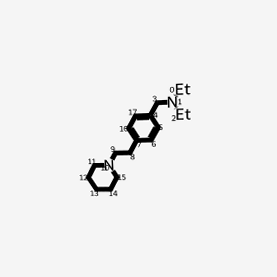 CCN(CC)Cc1ccc(CCN2CCCCC2)cc1